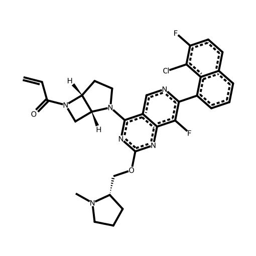 C=CC(=O)N1C[C@@H]2[C@H]1CCN2c1nc(OC[C@@H]2CCCN2C)nc2c(F)c(-c3cccc4ccc(F)c(Cl)c34)ncc12